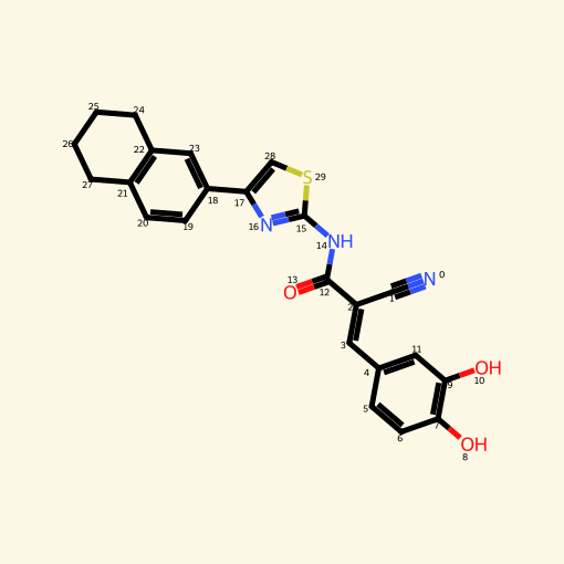 N#C/C(=C\c1ccc(O)c(O)c1)C(=O)Nc1nc(-c2ccc3c(c2)CCCC3)cs1